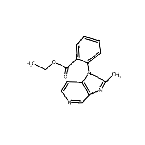 CCOC(=O)c1ccccc1-n1c(C)nc2cnccc21